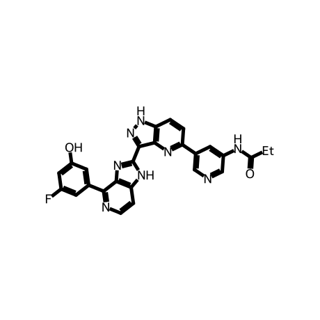 CCC(=O)Nc1cncc(-c2ccc3[nH]nc(-c4nc5c(-c6cc(O)cc(F)c6)nccc5[nH]4)c3n2)c1